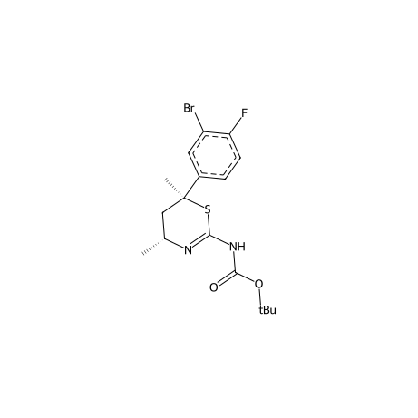 C[C@@H]1C[C@@](C)(c2ccc(F)c(Br)c2)SC(NC(=O)OC(C)(C)C)=N1